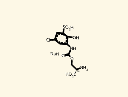 N[C@@H](COC(=O)Nc1cc(Cl)cc(S(=O)(=O)O)c1O)C(=O)O.[NaH]